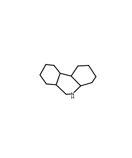 C1CCC2C(C1)CNC1CCCCC12